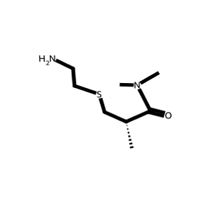 C[C@H](CSCCN)C(=O)N(C)C